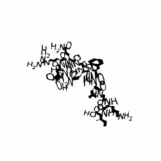 CC[C@H](C)[C@H](NC(=O)[C@H](CCCCN)NC(=O)CNC(=O)[C@H](CC(C)C)NC(=O)[C@H](Cc1ccccc1)NC(=O)[C@H](CC(N)=O)NC(=O)[C@H](C)NC(=O)[C@H](CCC(N)=O)NC(=O)[C@H](CCCN=C(N)N)NC(=O)[C@@H](N)CCC(=O)O)C(=O)O